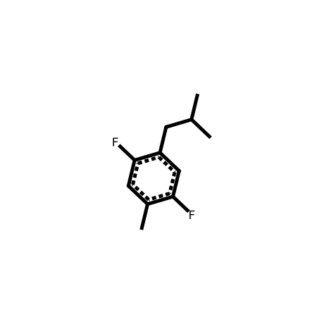 Cc1cc(F)c(CC(C)C)cc1F